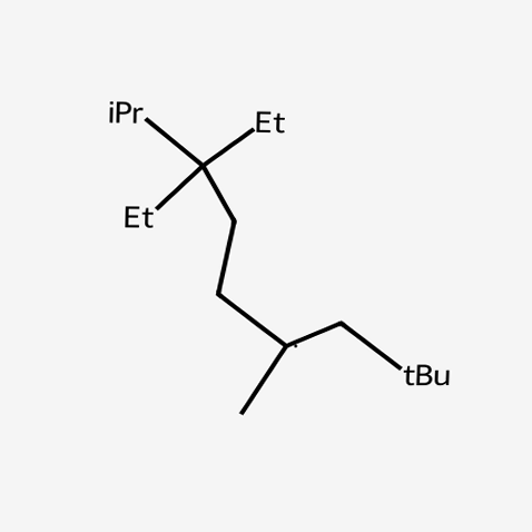 CCC(CC)(CC[C](C)CC(C)(C)C)C(C)C